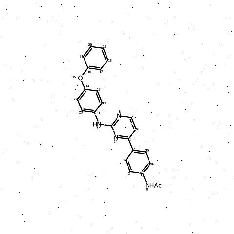 CC(=O)Nc1ccc(-c2ccnc(Nc3ccc(Oc4ccccc4)cc3)n2)cc1